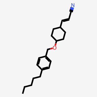 CCCCCc1ccc(COC2CCC(C=CC#N)CC2)cc1